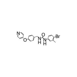 Cc1cc(NC(=O)NCc2ccc(Oc3ccncc3)cc2)ccc1Br